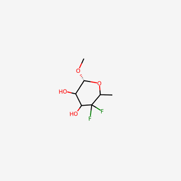 CO[C@@H]1OC(C)C(F)(F)C(O)C1O